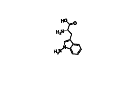 N[C@@H](Cc1cn(N)c2ccccc12)C(=O)O